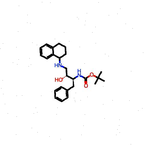 CC(C)(C)OC(=O)N[C@@H](Cc1ccccc1)[C@H](O)CNC1CCCc2ccccc21